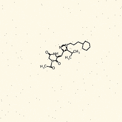 CC(=O)N1CC(=O)NC(=Cc2ncn(CCCC3CCCCC3)c2C(C)C)C1=O